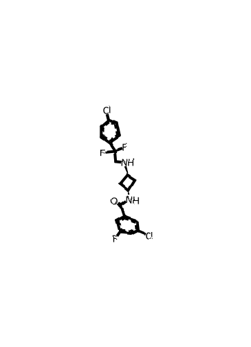 O=C(N[C@H]1C[C@H](NCC(F)(F)c2ccc(Cl)cc2)C1)c1cc(F)cc(Cl)c1